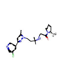 Cc1cc(-c2cncc(Cl)c2)nn1CCC(C)(C)NCC(=O)N1CCC[C@H]1C#N